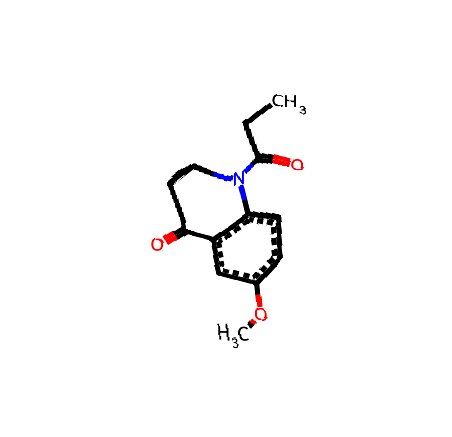 CCC(=O)N1CCC(=O)c2cc(OC)ccc21